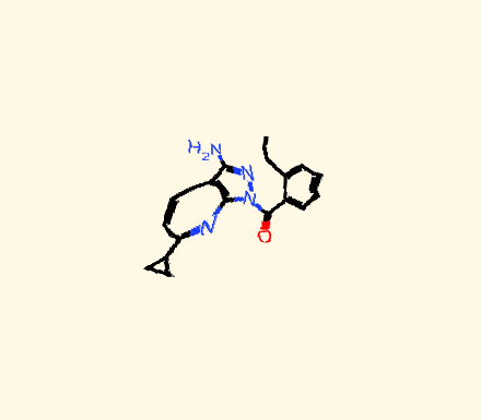 CCc1ccccc1C(=O)n1nc(N)c2ccc(C3CC3)nc21